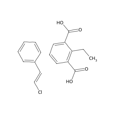 CCc1c(C(=O)O)cccc1C(=O)O.ClC=Cc1ccccc1